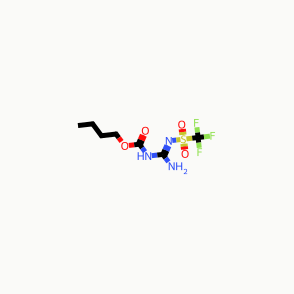 CCCCOC(=O)NC(N)=NS(=O)(=O)C(F)(F)F